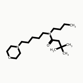 CCCCN(CCCCCN1CCOCC1)C(=O)CC(C)(C)C